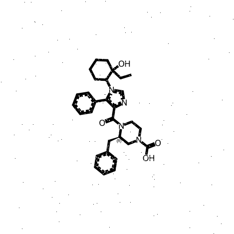 CCC1(O)CCCCC1n1cnc(C(=O)N2CCN(C(=O)O)C[C@H]2Cc2ccccc2)c1-c1ccccc1